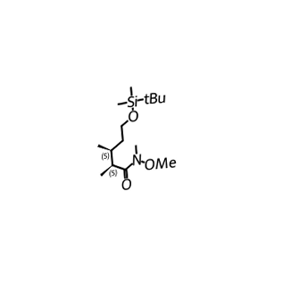 CON(C)C(=O)[C@@H](C)[C@@H](C)CCO[Si](C)(C)C(C)(C)C